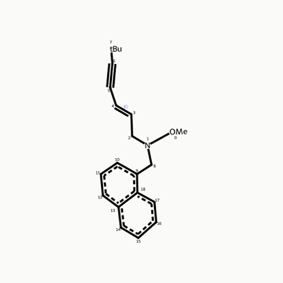 CON(C/C=C/C#CC(C)(C)C)Cc1cccc2ccccc12